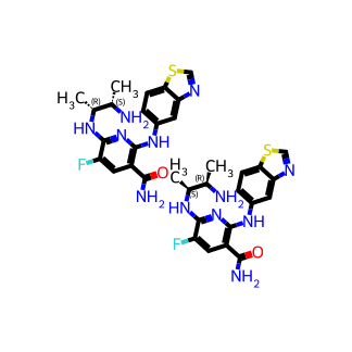 C[C@H](N)[C@@H](C)Nc1nc(Nc2ccc3scnc3c2)c(C(N)=O)cc1F.C[C@H](Nc1nc(Nc2ccc3scnc3c2)c(C(N)=O)cc1F)[C@@H](C)N